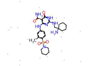 Cc1cc(Nc2nc(NCC3(N)CCCCC3)[nH]c(=O)c2C(N)=O)ccc1S(=O)(=O)N1CCCCC1